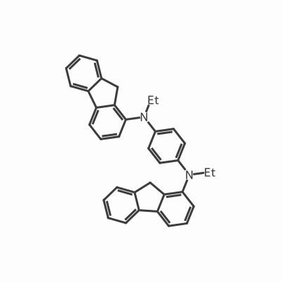 CCN(c1ccc(N(CC)c2cccc3c2Cc2ccccc2-3)cc1)c1cccc2c1Cc1ccccc1-2